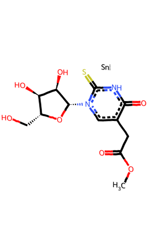 COC(=O)Cc1cn([C@@H]2O[C@H](CO)[C@@H](O)[C@H]2O)c(=S)[nH]c1=O.[Sn]